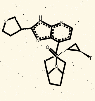 O=C([C@@H]1C[C@H]1F)N1C2CCC1CN(c1ccnc3[nH]c(C4CCOC4)nc13)C2